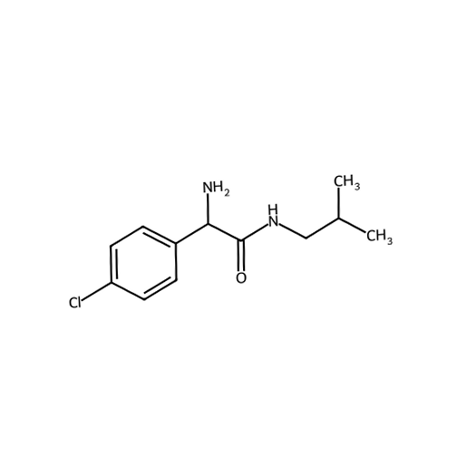 CC(C)CNC(=O)C(N)c1ccc(Cl)cc1